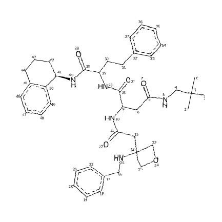 CC(C)(C)CNC(=O)CC(NC(=O)CC1(NCc2ccccc2)COC1)C(=O)NC(CCc1ccccc1)C(=O)N[C@@H]1CCCc2ccccc21